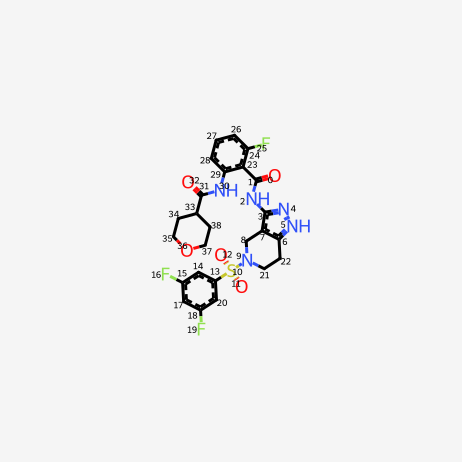 O=C(Nc1n[nH]c2c1CN(S(=O)(=O)c1cc(F)cc(F)c1)CC2)c1c(F)cccc1NC(=O)C1CCOCC1